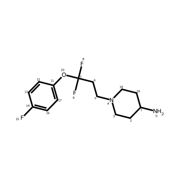 NC1CCN(CCC(F)(F)Oc2ccc(F)cc2)CC1